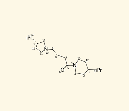 CC(C)C1CCN(C(=O)CCCN2CC[C@H](C(C)C)C2)CC1